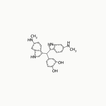 CNc1ccc2c(C(c3ccc(O)c(O)c3)c3c[nH]c4cc(NC)ccc34)c[nH]c2c1